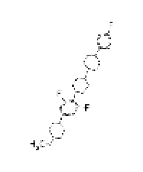 C=CC1CCC(c2cc(F)c(C3CCC(C4CCC(c5ccc(F)cc5)CC4)CC3)c(F)c2)CC1